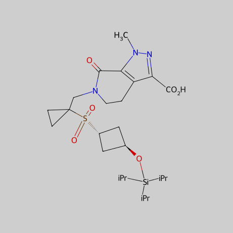 CC(C)[Si](O[C@H]1C[C@H](S(=O)(=O)C2(CN3CCc4c(C(=O)O)nn(C)c4C3=O)CC2)C1)(C(C)C)C(C)C